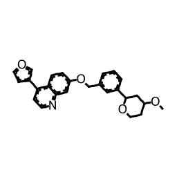 COC1CCOC(c2cccc(COc3ccc4c(-c5ccoc5)ccnc4c3)c2)C1